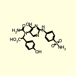 NC(=O)N(c1cnc(Nc2ccc(S(N)(=O)=O)cc2)nc1O)C(C(=O)O)c1ccc(O)cc1